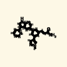 Cn1cc(-c2cc(C=CC(N)=O)cc(-c3cnc4[nH]cc(-c5ccncn5)c4c3)c2)cn1